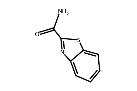 NC(=O)c1nc2cc[c]cc2s1